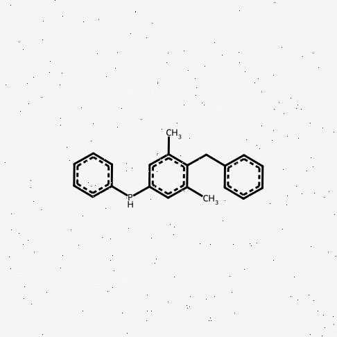 Cc1cc(Pc2ccccc2)cc(C)c1Cc1ccccc1